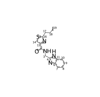 O=C(NCc1nc2ccccc2[nH]1)c1csc(CCI)n1